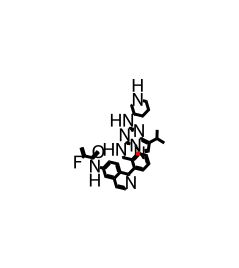 C=C(F)C(=O)Nc1ccc2c(-c3ccccc3CNc3nc(NC4CCCNC4)nc4c(C(C)C)cnn34)nccc2c1